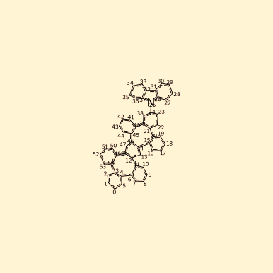 c1ccc2c(c1)c1ccccc1c1cc3c4ccccc4c4ccc(-n5c6ccccc6c6ccccc65)cc4c4ccccc4c3cc1c1ccccc21